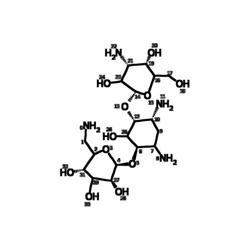 NCC1O[C@@H](O[C@@H]2C(N)C[C@@H](N)[C@@H](O[C@H]3OC(CO)[C@@H](O)[C@@H](N)C3O)C2O)[C@@H](O)C(O)[C@@H]1O